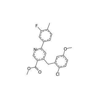 COC(=O)c1cnc(-c2ccc(C)c(F)c2)cc1Cc1cc(OC)ccc1Cl